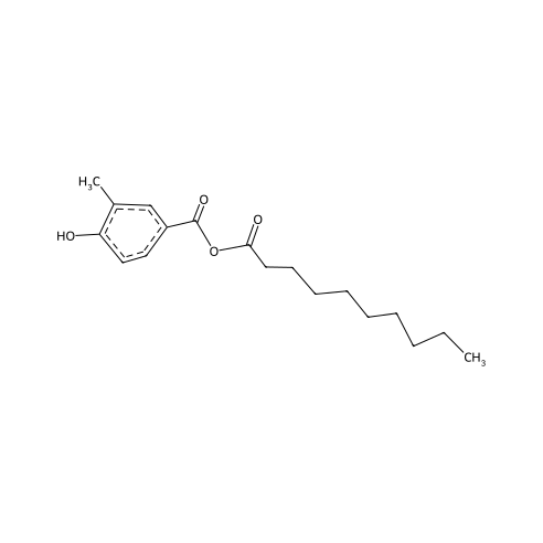 CCCCCCCCCC(=O)OC(=O)c1ccc(O)c(C)c1